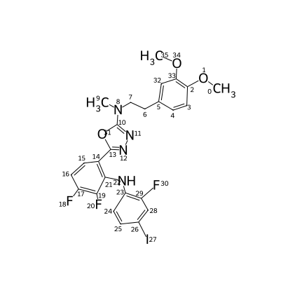 COc1ccc(CCN(C)c2nnc(-c3ccc(F)c(F)c3Nc3ccc(I)cc3F)o2)cc1OC